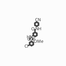 COc1ccc(Cl)cc1S(=O)(=O)Nc1cccc(C(=O)Nc2ccc(C#N)cc2)c1